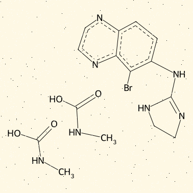 Brc1c(NC2=NCCN2)ccc2nccnc12.CNC(=O)O.CNC(=O)O